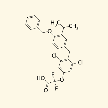 CC(C)c1cc(Cc2c(Cl)cc(OC(F)(F)C(=O)O)cc2Cl)ccc1OCc1ccccc1